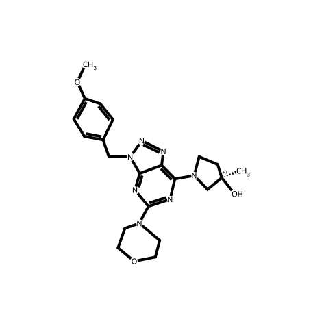 COc1ccc(Cn2nnc3c(N4CC[C@@](C)(O)C4)nc(N4CCOCC4)nc32)cc1